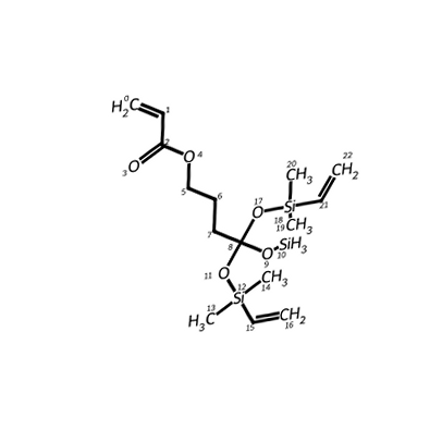 C=CC(=O)OCCCC(O[SiH3])(O[Si](C)(C)C=C)O[Si](C)(C)C=C